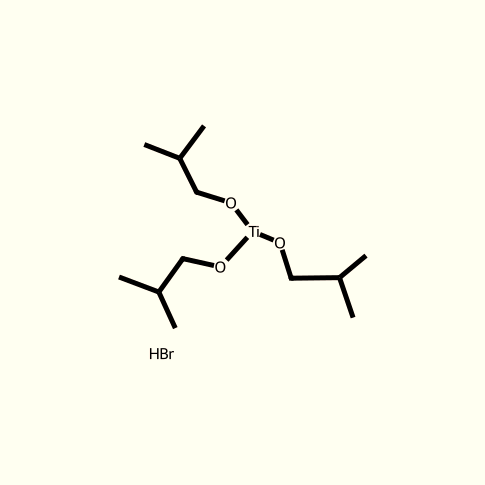 Br.CC(C)C[O][Ti]([O]CC(C)C)[O]CC(C)C